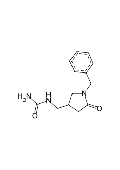 NC(=O)NCC1CC(=O)N(Cc2ccccc2)C1